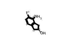 Nc1c(F)ccc2c1C[C@@H](O)C2